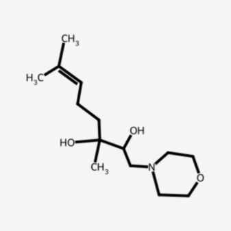 CC(C)=CCCC(C)(O)C(O)CN1CCOCC1